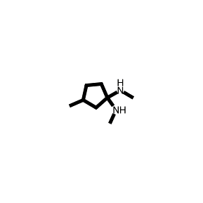 CNC1(NC)CCC(C)C1